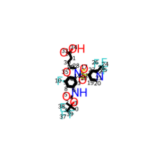 CC(C)(OC(=O)Nc1cc(F)c2c(c1)N(S(=O)(=O)c1ccnc(C(F)(F)F)c1)C[C@H](CCC(=O)O)O2)C(F)(F)F